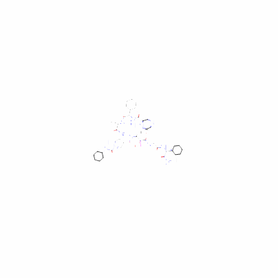 CCC[C@H](NC(=O)[C@@H]1CN(C(=O)Nc2ccccc2)C[C@@H]1N(C)C(=O)C(NC(=O)C(NC(=O)c1cnccn1)C1CCCCC1)C(C)(C)C)C(O)C(=O)NCC(=O)NC(C(=O)N(C)C)c1ccccc1